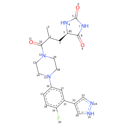 CC(C[C@H]1NC(=O)NC1=O)C(=O)N1CCN(c2ccc(F)c(-c3cn[nH]c3)c2)CC1